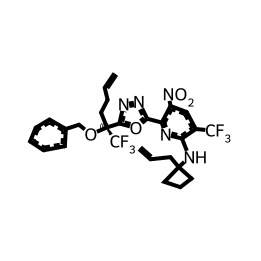 C=CCC[C@@](OCc1ccccc1)(c1nnc(-c2nc(NC3(CC=C)CCC3)c(C(F)(F)F)cc2[N+](=O)[O-])o1)C(F)(F)F